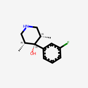 C[C@@H]1CNC[C@H](C)[C@@]1(O)c1cccc(F)c1